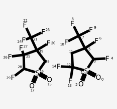 O=S1(=O)C(F)C(F)(C(F)(F)F)CC1(F)F.O=S1(=O)CC(F)(C(F)(F)F)C(F)(F)C1F